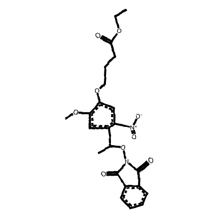 CCOC(=O)CCCOc1cc([N+](=O)[O-])c(C(C)ON2C(=O)c3ccccc3C2=O)cc1OC